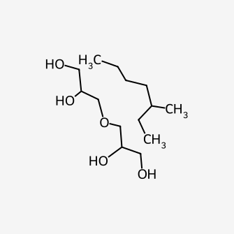 CCCCC(C)CC.OCC(O)COCC(O)CO